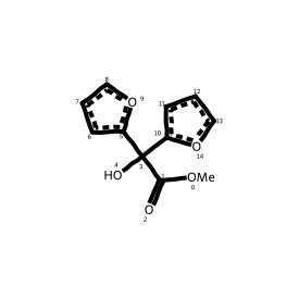 COC(=O)C(O)(c1ccco1)c1ccco1